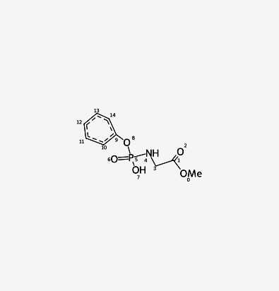 COC(=O)CNP(=O)(O)Oc1ccccc1